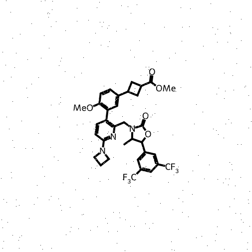 COC(=O)C1CC(c2ccc(OC)c(-c3ccc(N4CCC4)nc3CN3C(=O)OC(c4cc(C(F)(F)F)cc(C(F)(F)F)c4)C3C)c2)C1